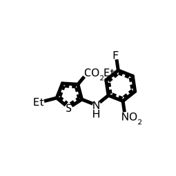 CCOC(=O)c1cc(CC)sc1Nc1cc(F)ccc1[N+](=O)[O-]